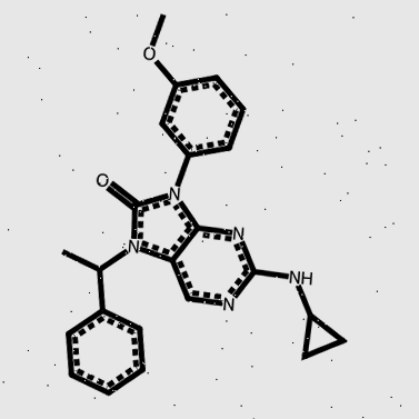 COc1cccc(-n2c(=O)n(C(C)c3ccccc3)c3cnc(NC4CC4)nc32)c1